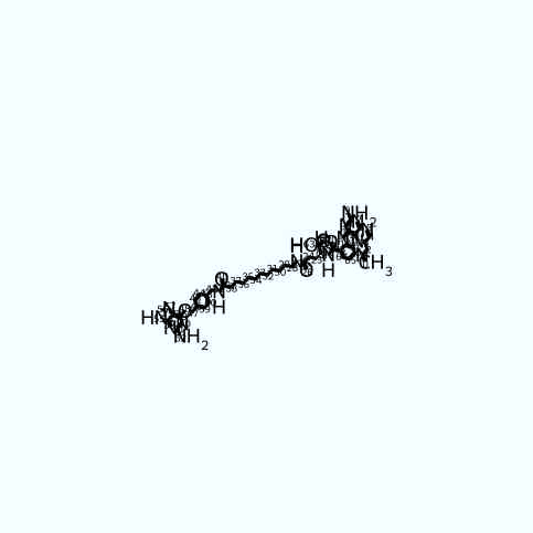 CN(Cc1cnc2nc(N)nc(N)c2n1)c1ccc(C(=O)N[C@@H](CCC(=O)NCCCCCCCCCCCC(=O)NCc2ccc(COc3nc(N)nc4[nH]cnc34)cc2)C(=O)O)cc1